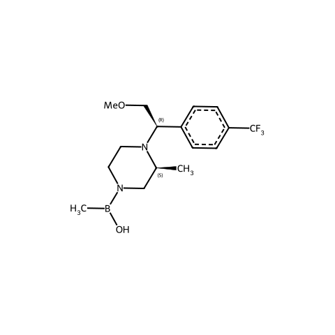 COC[C@@H](c1ccc(C(F)(F)F)cc1)N1CCN(B(C)O)C[C@@H]1C